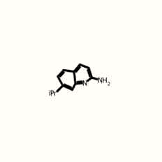 CC(C)c1ccc2ccc(N)nc2c1